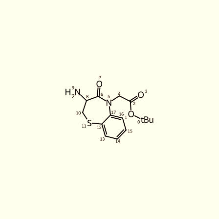 CC(C)(C)OC(=O)CN1C(=O)C(N)CSc2ccccc21